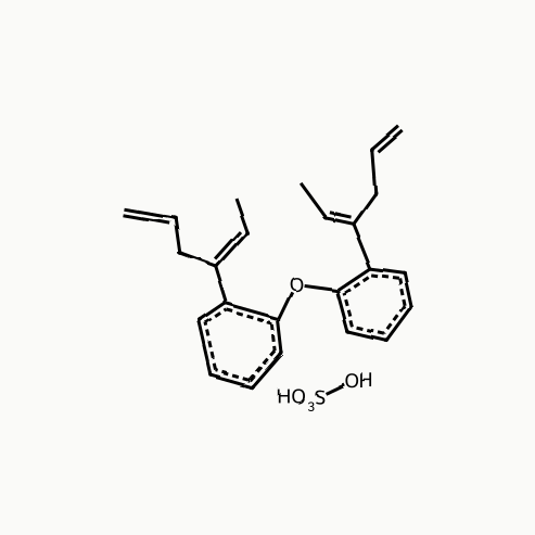 C=CCC(=CC)c1ccccc1Oc1ccccc1C(=CC)CC=C.O=S(=O)(O)O